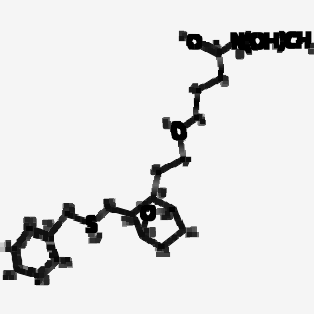 CN(O)C(=O)CCCOCCC1C2CCC(O2)C1CSCc1ccccc1